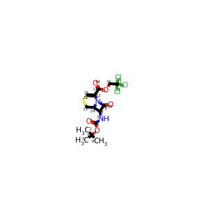 CC(C)(C)OC(=O)NC1C(=O)N2C(C(=O)OCC(Cl)(Cl)Cl)=CSCC12